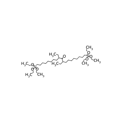 CCO[Si](CCCCCCCCC(CC)C(=O)C(CC)CCCCCCCC[Si](OCC)(OCC)OCC)(OCC)OCC